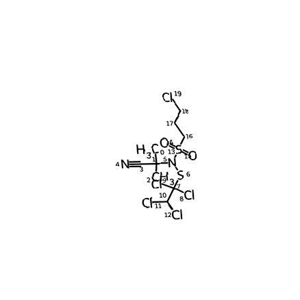 CC(C)(C#N)N(SC(Cl)(Cl)C(Cl)Cl)S(=O)(=O)CCCCl